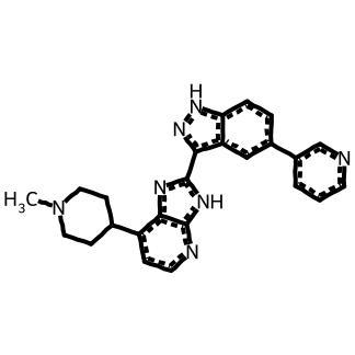 CN1CCC(c2ccnc3[nH]c(-c4n[nH]c5ccc(-c6cccnc6)cc45)nc23)CC1